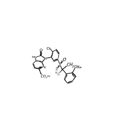 COc1ccccc1C(C)(C)S(=O)(=O)c1ccc(Cl)c(-n2c(=O)[nH]c3ccc(C(=O)O)nc32)c1